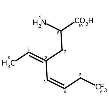 C/C=C(\C=C/CC(F)(F)F)CC(N)C(=O)O